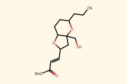 COC(=O)/C=C/C1CC2(CO)OC(CCC#N)CCC2O1